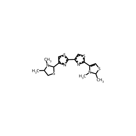 CC1SC=C(c2nc(-c3nc(C4SCC(C)N4C)cs3)cs2)N1C